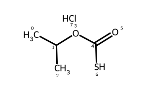 CC(C)OC(=O)S.Cl